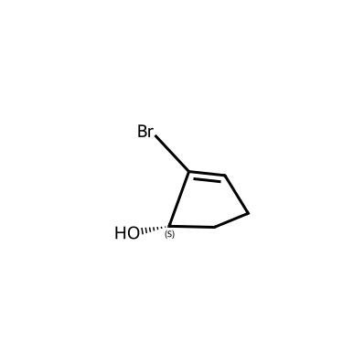 O[C@H]1CCC=C1Br